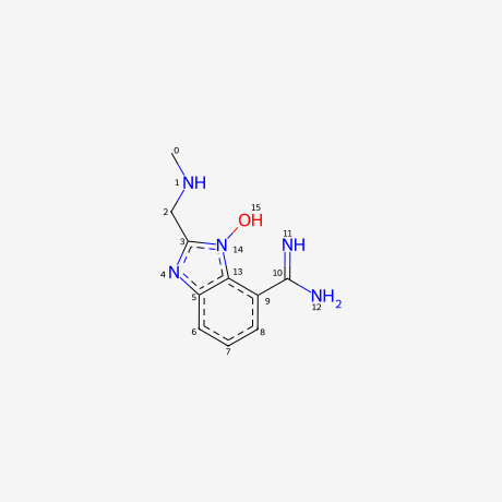 CNCc1nc2cccc(C(=N)N)c2n1O